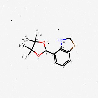 CC1(C)OB(c2cccc3c2NCS3)OC1(C)C